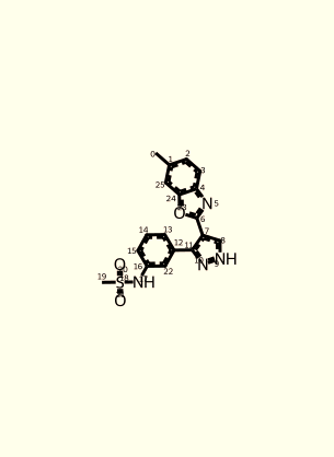 Cc1ccc2nc(-c3c[nH]nc3-c3cccc(NS(C)(=O)=O)c3)oc2c1